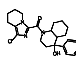 O=C(c1nc(Cl)c2n1CCCC2)N1CCC(O)(c2ccccc2)C2CCCCC21